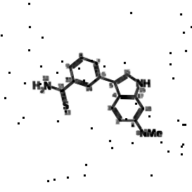 CNc1ccc2c(-c3cccc(C(N)=S)c3)c[nH]c2c1